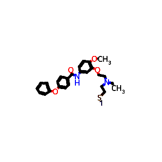 CCN(CCOc1cc(NC(=O)c2ccc(Oc3ccccc3)cc2)ccc1OC)CCSI